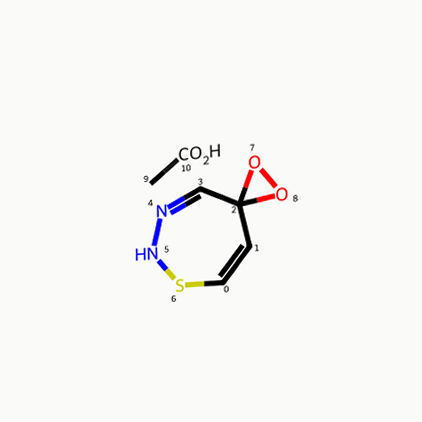 C1=CC2(C=NNS1)OO2.CC(=O)O